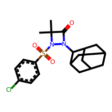 CC1(C)C(=O)N(C2C3CC4CC(C3)CC2C4)N1S(=O)(=O)c1ccc(Cl)cc1